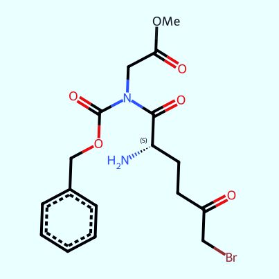 COC(=O)CN(C(=O)OCc1ccccc1)C(=O)[C@@H](N)CCC(=O)CBr